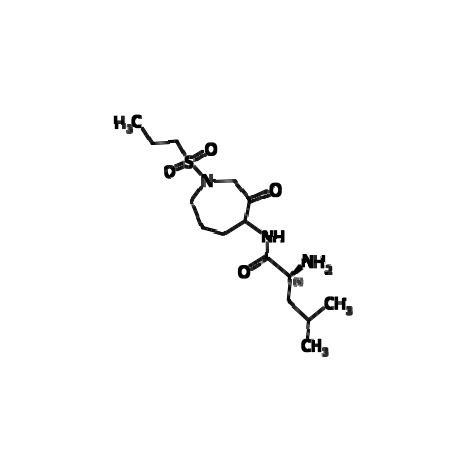 CCCS(=O)(=O)N1CCCC(NC(=O)[C@@H](N)CC(C)C)C(=O)C1